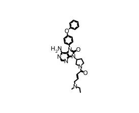 CCN(C)CC=CC(=O)N1CC[C@H](n2c(=O)n(-c3ccc(Oc4ccccc4)cc3)c3c(N)ncnc32)C1